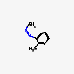 C/N=N\c1ccccc1C